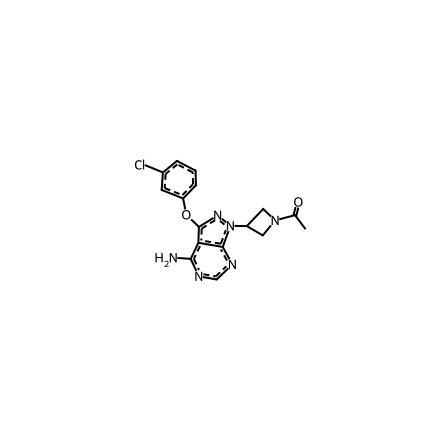 CC(=O)N1CC(n2nc(Oc3cccc(Cl)c3)c3c(N)ncnc32)C1